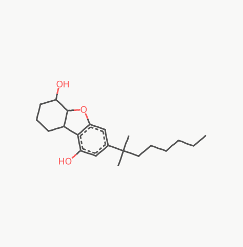 CCCCCCC(C)(C)c1cc(O)c2c(c1)OC1C(O)CCCC21